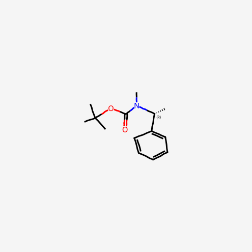 C[C@H](c1ccccc1)N(C)C(=O)OC(C)(C)C